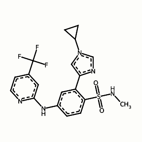 CNS(=O)(=O)c1ccc(Nc2cc(C(F)(F)F)ccn2)cc1-c1cn(C2CC2)cn1